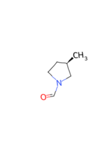 C[C@@H]1CCN(C=O)C1